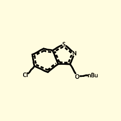 CCCCOc1nsc2ccc(Cl)cc12